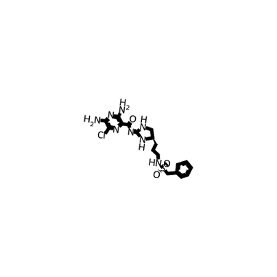 Nc1nc(N)c(C(=O)/N=C2\NC[C@@H](CCCNS(=O)(=O)Cc3ccccc3)N2)nc1Cl